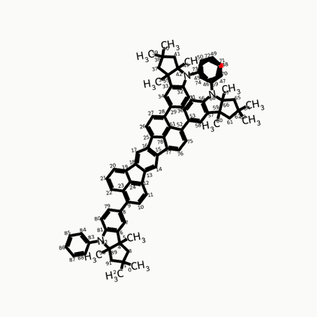 CC1(C)CC2(C)c3cc(-c4ccc5c6cc7c(cc6c6cccc4c65)c4ccc(-c5ccc6c(c5)C5(C)CC(C)(C)CC5(C)N6c5ccccc5)c5c(-c6ccc8c(c6)C6(C)CC(C)(C)CC6(C)N8c6ccccc6)ccc7c54)ccc3N(c3ccccc3)C2(C)C1